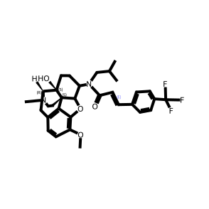 COc1ccc2c3c1OC1C(N(CC(C)C)C(=O)/C=C/c4ccc(C(F)(F)F)cc4)CC[C@@]4(O)[C@@H](C2)N(C)CC[C@]314